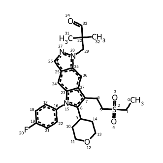 CCS(=O)(=O)CCc1c(C2CCOCC2)n(-c2ccc(F)cc2)c2cc3cnn(CC(C)(C)C=O)c3cc12